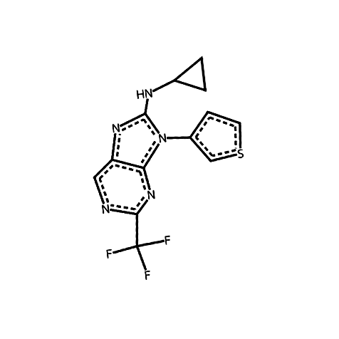 FC(F)(F)c1ncc2nc(NC3CC3)n(-c3ccsc3)c2n1